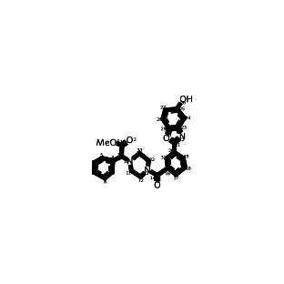 COC(=O)C(c1ccccc1)N1CCN(C(=O)c2cccc(-c3nc4cc(O)ccc4o3)c2)CC1